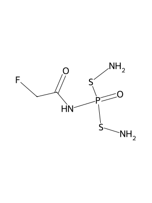 NSP(=O)(NC(=O)CF)SN